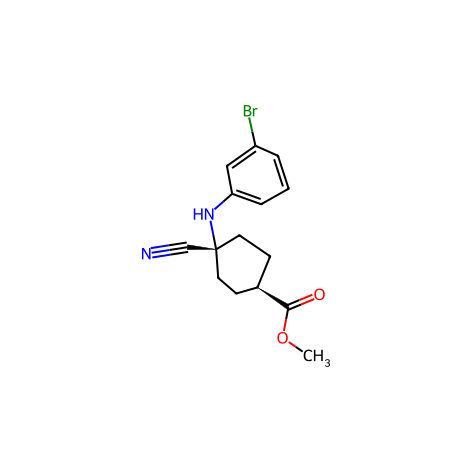 COC(=O)[C@H]1CC[C@](C#N)(Nc2cccc(Br)c2)CC1